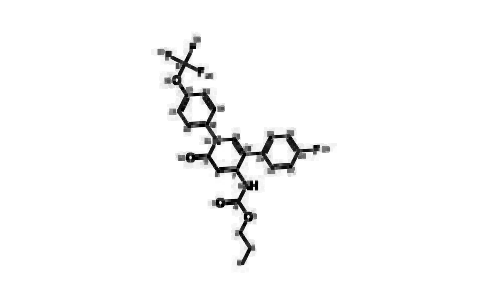 CCCOC(=O)Nc1cc(=O)n(-c2ccc(OC(F)(F)F)cc2)cc1-c1ccc(F)cc1